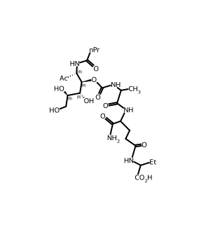 CCCC(=O)N[C@@H](C(C)=O)[C@@H](OC(=O)NC(C)C(=O)NC(CCC(=O)NC(CC)C(=O)O)C(N)=O)[C@H](O)[C@H](O)CO